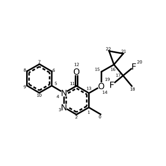 Cc1cnn(-c2ccccc2)c(=O)c1OCC1(C(C)(F)F)CC1